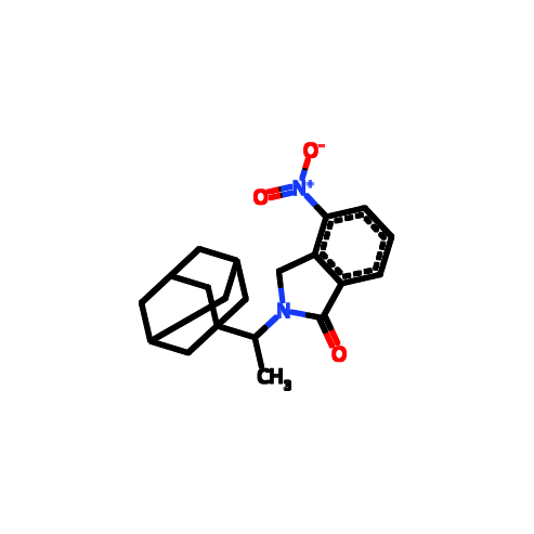 CC(N1Cc2c(cccc2[N+](=O)[O-])C1=O)C12CC3CC(CC(C3)C1)C2